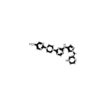 Cc1cnc(N2CCN(c3ncnc(Nc4cnn(C[C@@H]5CNCCO5)c4)n3)CC2)nc1